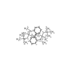 C[P@@](c1ccccc1-c1ccccc1[P@](C)C(C)(C)CC(C)(C)C)C(C)(C)CC(C)(C)C